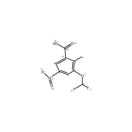 Cc1c(OC(F)F)cc([N+](=O)[O-])cc1C(=O)O